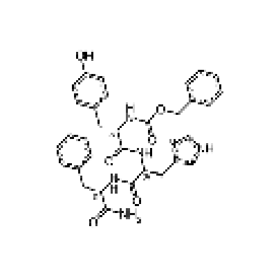 NC(=O)[C@H](Cc1ccccc1)NC(=O)[C@H](Cc1c[nH]cn1)NC(=O)[C@H](Cc1ccc(O)cc1)NC(=O)OCc1ccccc1